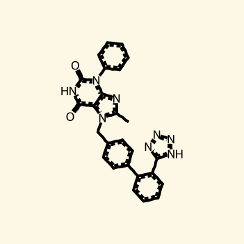 Cc1nc2c(c(=O)[nH]c(=O)n2-c2ccccc2)n1Cc1ccc(-c2ccccc2-c2nnn[nH]2)cc1